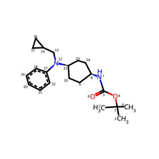 CC(C)(C)OC(=O)N[C@H]1CC[C@@H](N(CC2CC2)c2ccccc2)CC1